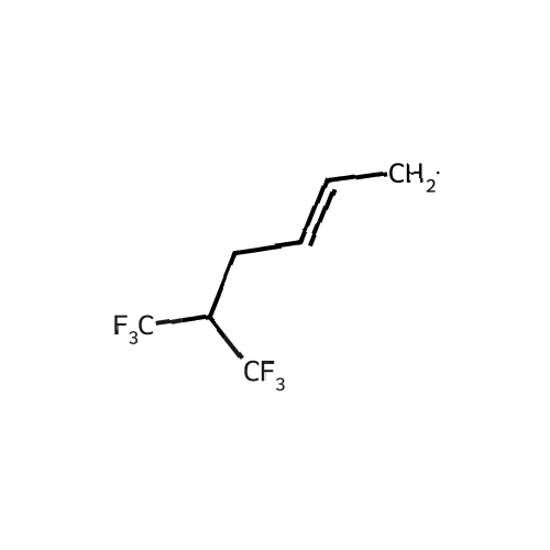 [CH2]C=CCC(C(F)(F)F)C(F)(F)F